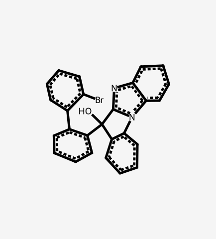 OC1(c2ccccc2-c2ccccc2Br)c2ccccc2-n2c1nc1ccccc12